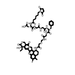 CC[C@@]1(O)C(=O)OCc2c1cc1n(c2=O)Cc2c-1nc1cc(F)c(C)c3c1c2[C@@H](NC(=O)COCNC(=O)CNC(=O)[C@H](Cc1ccccc1)NC(=O)CNC(=O)CNC(=O)[C@H](CC(=O)O)NC(=O)CCCCCN1C(=O)C=CC1=O)CC3